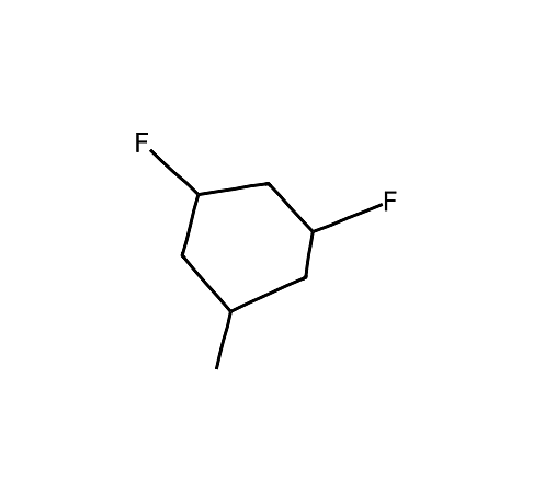 CC1CC(F)CC(F)C1